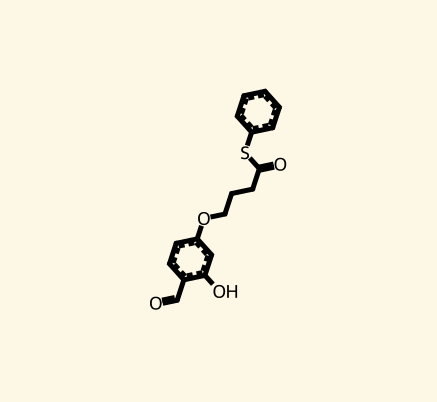 O=Cc1ccc(OCCCC(=O)Sc2ccccc2)cc1O